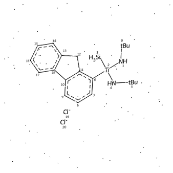 CC(C)(C)[NH][Ti]([SiH3])([NH]C(C)(C)C)[c]1cccc2c1Cc1ccccc1-2.[Cl-].[Cl-]